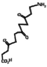 NCCC(=O)CCC(=O)CCC(=O)CCC(=O)O